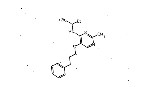 CCCCC(CC)Nc1nc(C)ncc1OCCCc1ccccc1